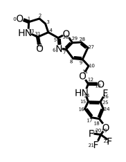 O=C1CCC(c2nc3cc(COC(=O)Nc4ccc(OC(F)(F)F)cc4F)ccc3o2)C(=O)N1